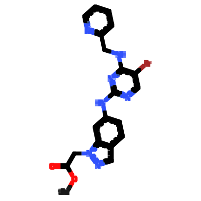 CC(C)(C)OC(=O)Cn1ncc2ccc(Nc3ncc(Br)c(NCc4ccccn4)n3)cc21